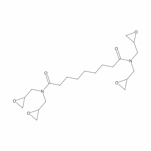 O=C(CCCCCCCC(=O)N(CC1CO1)CC1CO1)N(CC1CO1)CC1CO1